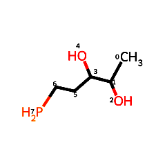 CC(O)C(O)CCP